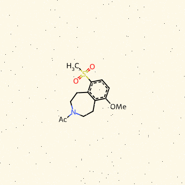 COc1ccc(S(C)(=O)=O)c2c1CCN(C(C)=O)CC2